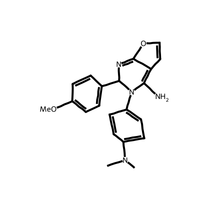 COc1ccc(C2N=c3occc3=C(N)N2c2ccc(N(C)C)cc2)cc1